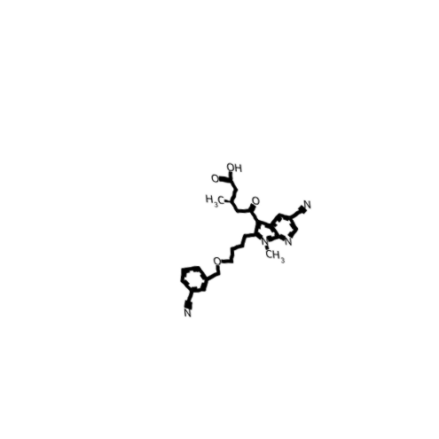 C[C@@H](CC(=O)O)CC(=O)c1c(CCCCOCc2cccc(C#N)c2)n(C)c2ncc(C#N)cc12